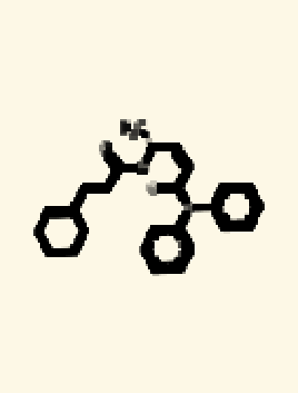 C[C@H](/C=C\C(=O)N(c1ccccc1)c1ccccc1)OC(=O)/C=C/C1=CCCCC1